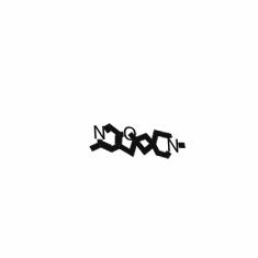 Cc1cc2c(cn1)OC1(C2)CC2(CCN(C)CC2)C1